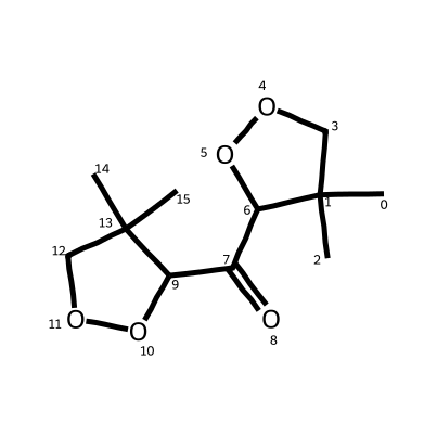 CC1(C)COOC1C(=O)C1OOCC1(C)C